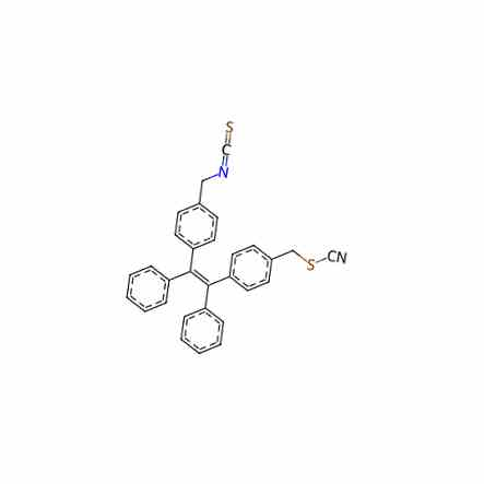 N#CSCc1ccc(C(=C(c2ccccc2)c2ccc(CN=C=S)cc2)c2ccccc2)cc1